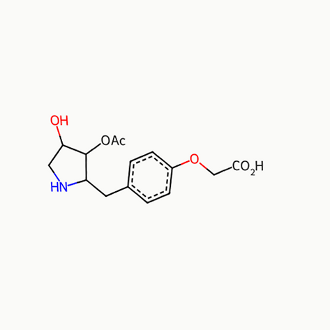 CC(=O)OC1C(O)CNC1Cc1ccc(OCC(=O)O)cc1